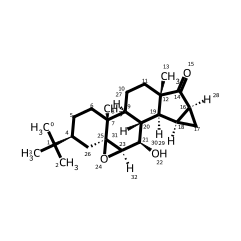 CC(C)(C)[C@H]1CC[C@]2(C)[C@H]3CC[C@]4(C)C(=O)[C@H]5C[C@H]5[C@H]4[C@@H]3[C@@H](O)[C@H]3O[C@]32C1